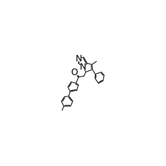 CC1=C(c2ccccc2)C(CC(=O)c2ccc(-c3ccc(C)cc3)cc2)n2cncc21